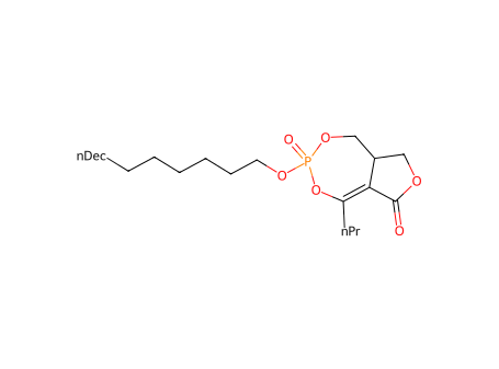 CCCCCCCCCCCCCCCCOP1(=O)OCC2COC(=O)C2=C(CCC)O1